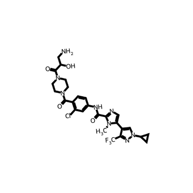 Cn1c(-c2cn(C3CC3)nc2C(F)(F)F)cnc1C(=O)Nc1ccc(C(=O)N2CCN(C(=O)C(O)CN)CC2)c(Cl)c1